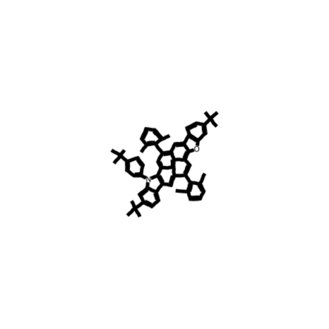 Cc1cccc(C)c1-c1cc2c3c(cc4c5ccc(C(C)(C)C)cc5n(-c5ccc(C(C)(C)C)cc5)c42)c(-c2c(C)cccc2C)cc2c4oc5cc(C(C)(C)C)ccc5c4cc1c23